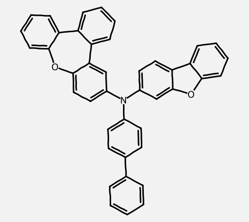 c1ccc(-c2ccc(N(c3ccc4c(c3)-c3ccccc3-c3ccccc3O4)c3ccc4c(c3)oc3ccccc34)cc2)cc1